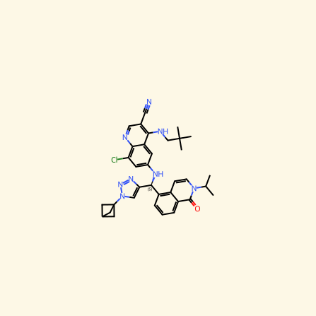 CC(C)n1ccc2c([C@H](Nc3cc(Cl)c4ncc(C#N)c(NCC(C)(C)C)c4c3)c3cn(C45CC(C4)C5)nn3)cccc2c1=O